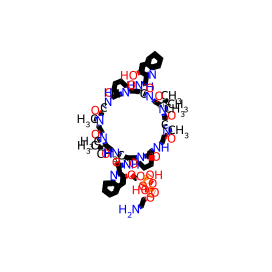 CC(C)[C@H]1C(=O)NC[C@@H](NC(=O)c2nc3ccccc3cc2OCOP(=O)(O)OP(=O)(O)OCCN)C(=O)N2CCCC[C@H]2C(=O)NCC(=O)N(C)CC(=O)N(C)[C@@H](C(C)C)C(=O)NC[C@@H](NC(=O)c2nc3ccccc3cc2O)C(=O)N2CCCC[C@H]2C(=O)NCC(=O)N(C)CC(=O)N1C